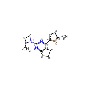 CC1CCN1c1nc2c(c(-c3ccc(C#N)s3)n1)CCC2